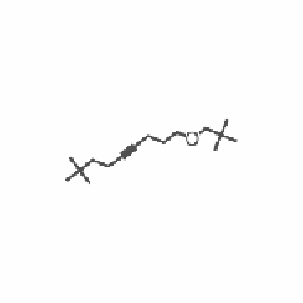 CC(C)(C)CCC#CCCCOCC(C)(C)C